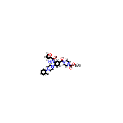 Cc1ccccc1N1CCN(c2ccc(C(=O)N3CCN(C(=O)OC(C)(C)C)CC3)cc2NC(=O)c2ccco2)CC1